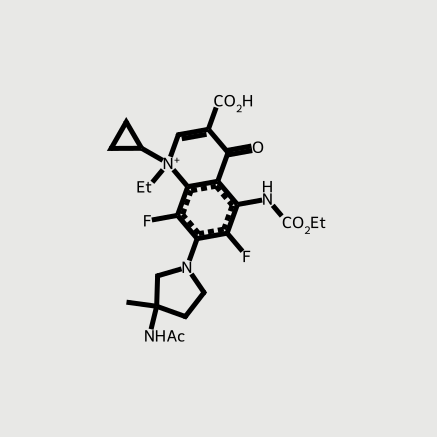 CCOC(=O)Nc1c(F)c(N2CCC(C)(NC(C)=O)C2)c(F)c2c1C(=O)C(C(=O)O)=C[N+]2(CC)C1CC1